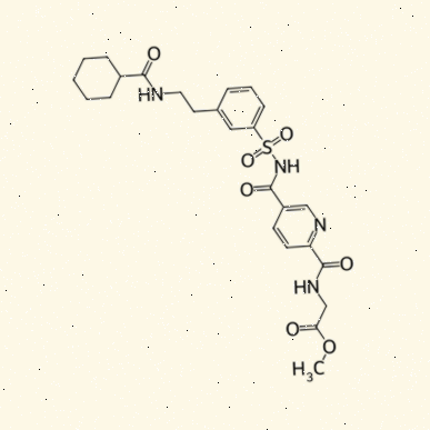 COC(=O)CNC(=O)c1ccc(C(=O)NS(=O)(=O)c2cccc(CCNC(=O)C3CCCCC3)c2)cn1